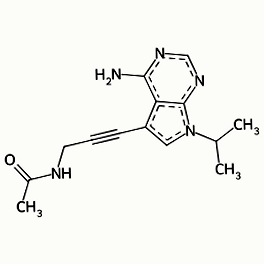 CC(=O)NCC#Cc1cn(C(C)C)c2ncnc(N)c12